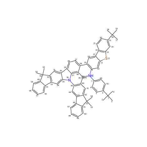 CC(C)(C)c1ccc(Nc2cc3sc4cc(C(C)(C)C)ccc4c3cc2-c2ccc3c4cc5c(cc4n4c3c2Bc2cc3c(cc2-4)-c2ccccc2C3(C)C)-c2ccccc2C5(C)C)cc1